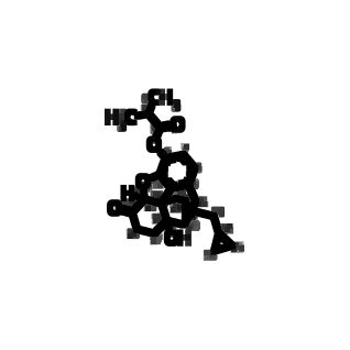 CC(C)C(=O)Oc1ccc2c3c1O[C@H]1C(=O)CC[C@@]4(O)C(C2)N(CC2CC2)CC[C@]314